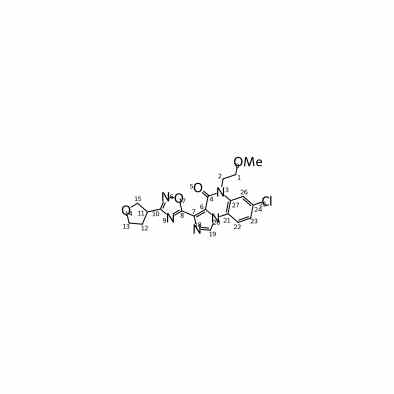 COCCn1c(=O)c2c(-c3nc(C4CCOC4)no3)ncn2c2ccc(Cl)cc21